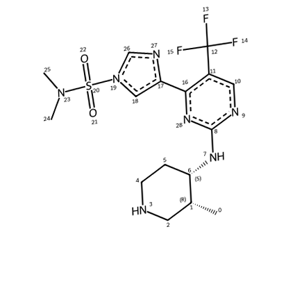 C[C@@H]1CNCC[C@@H]1Nc1ncc(C(F)(F)F)c(-c2cn(S(=O)(=O)N(C)C)cn2)n1